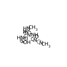 CNc1cc(Nc2cccn(C3CCN(C)CC3)c2=O)nc2c(C(=O)N[C@H]3CC[C@H]3O)cnn12